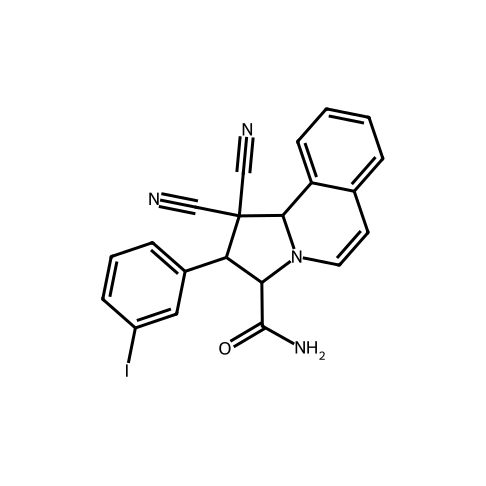 N#CC1(C#N)C(c2cccc(I)c2)C(C(N)=O)N2C=Cc3ccccc3C21